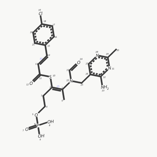 C/C(=C(\CCOP(=O)(O)O)SC(=O)/C=C/c1ccc(Cl)cc1)N(C=O)Cc1cnc(C)nc1N